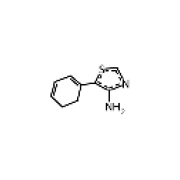 Nc1ncsc1C1=CC=CCC1